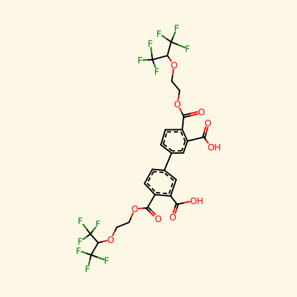 O=C(O)c1cc(-c2ccc(C(=O)OCCOC(C(F)(F)F)C(F)(F)F)c(C(=O)O)c2)ccc1C(=O)OCCOC(C(F)(F)F)C(F)(F)F